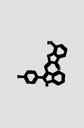 O=C1C(=Cc2c(-c3ccc(F)cc3)[nH]c3ccccc23)Oc2c(O)cccc21